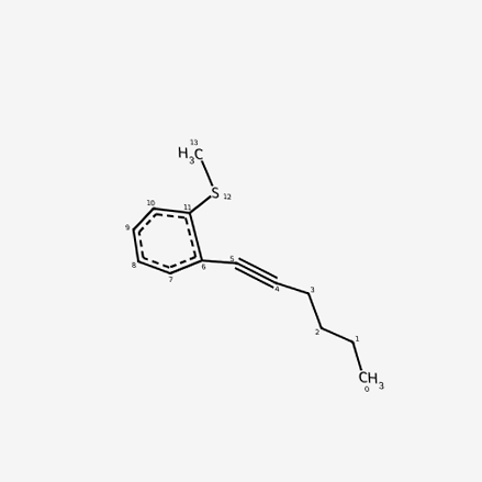 CCCCC#Cc1ccccc1SC